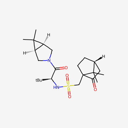 CC(C)(C)[C@H](NS(=O)(=O)CC12CC[C@H](CC1=O)C2(C)C)C(=O)N1C[C@@H]2[C@H](C1)C2(C)C